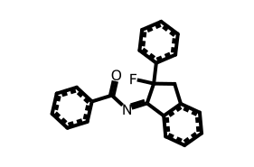 O=C(/N=C1/c2ccccc2CC1(F)c1ccccc1)c1ccccc1